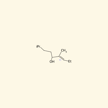 CC/C=C(\C)C(O)CCC(C)C